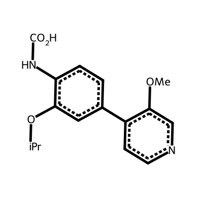 COc1cnccc1-c1ccc(NC(=O)O)c(OC(C)C)c1